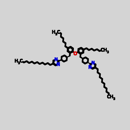 CCCCCCCCCCCCc1cnc([C@H]2CC[C@H](Cc3cc(CCCCCCC)ccc3Oc3ccc(CCCCCCC)cc3C[C@H]3CC[C@H](c4ncc(CCCCCCCCCCCC)cn4)CC3)CC2)nc1